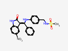 CS(=O)(=O)NCc1ccc(N/C(=C2\C(=O)Nc3ccc([N+](=O)[O-])cc32)c2ccccc2)cc1